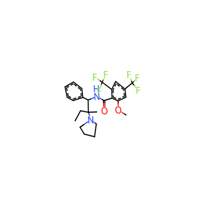 CCC(C)(C(NC(=O)c1c(OC)cc(C(F)(F)F)cc1C(F)(F)F)c1ccccc1)N1CCCC1